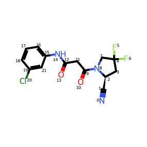 N#C[C@@H]1CC(F)(F)CN1C(=O)CC(=O)Nc1cccc(Cl)c1